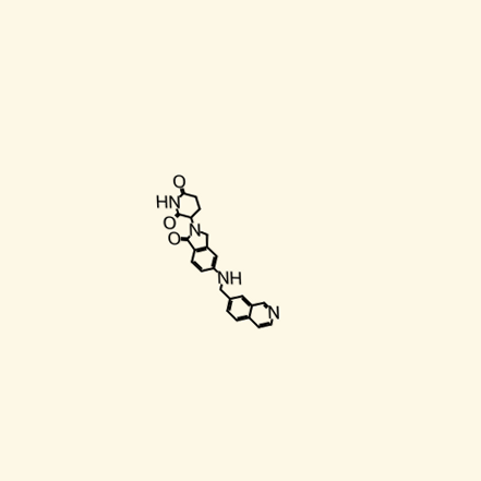 O=C1CCC(N2Cc3cc(NCc4ccc5ccncc5c4)ccc3C2=O)C(=O)N1